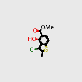 COC(=O)c1ccc2sc(C)c(Cl)c2c1O